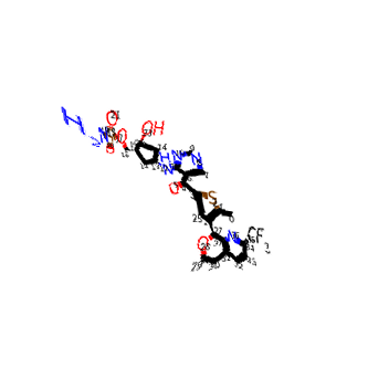 Cc1sc(C(=O)c2cncnc2N[C@@H]2C[C@H](COS(N)(=O)=O)[C@@H](O)C2)cc1[C@@H]1OCCc2ccc(C(F)(F)F)nc21